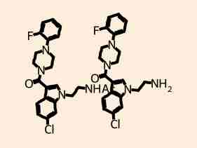 CC(=O)NCCn1cc(C(=O)N2CCN(c3ccccc3F)CC2)c2ccc(Cl)cc21.NCCn1cc(C(=O)N2CCN(c3ccccc3F)CC2)c2ccc(Cl)cc21